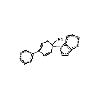 O=CC1(n2ccc3ccccc32)C=CC(c2ccccc2)=CC1